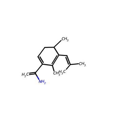 C=C(N)C1=CCC(C)C(C=C(C)C)=C1C